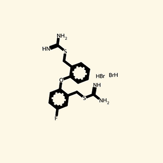 Br.Br.N=C(N)SCc1ccccc1Oc1ccc(F)cc1CSC(=N)N